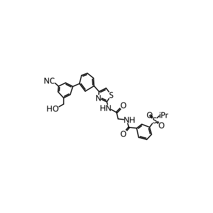 CC(C)S(=O)(=O)c1cccc(C(=O)NCC(=O)Nc2nc(-c3cccc(-c4cc(C#N)cc(CO)c4)c3)cs2)c1